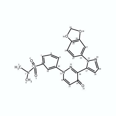 CN(C)S(=O)(=O)c1cccc(-n2ccc(=O)c(-c3ccnn3-c3ccc4c(c3)OCO4)n2)c1